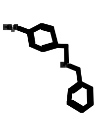 O=C(O)c1ccc(CNCc2ccccc2)cc1